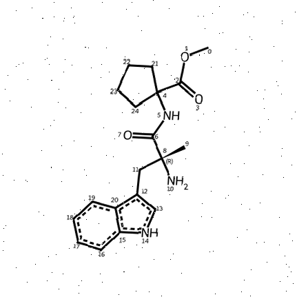 COC(=O)C1(NC(=O)[C@](C)(N)Cc2c[nH]c3ccccc23)CCCC1